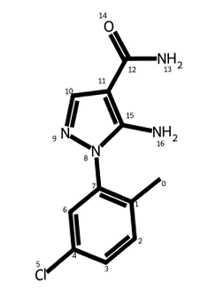 Cc1ccc(Cl)cc1-n1ncc(C(N)=O)c1N